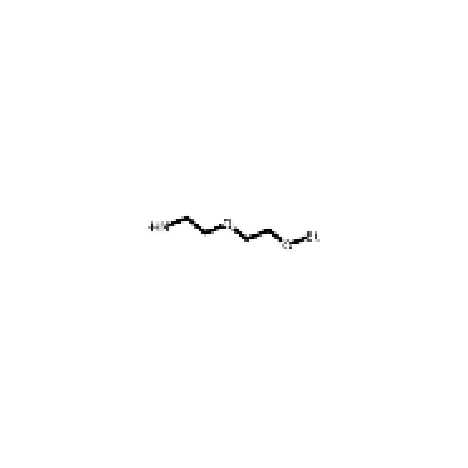 CCOCCOCC[NH]